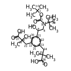 CC(C)(C)OC(=O)N(CC(O)c1cc(CC(C)(C)C(=O)O)cc(CC(C)(C)C(=O)O)c1)C(C)(C)C